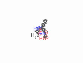 CC(=O)c1cccc(NC(=O)NC(c2ccc(C(=O)NCCC(=O)O)cc2)c2ccc(C3=CCCCC3)cc2)c1